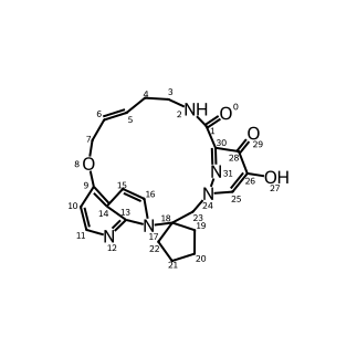 O=C1NCC/C=C/COc2ccnc3c2ccn3C2(CCCC2)Cn2cc(O)c(=O)c1n2